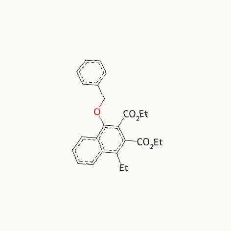 CCOC(=O)c1c(C(=O)OCC)c(OCc2ccccc2)c2ccccc2c1CC